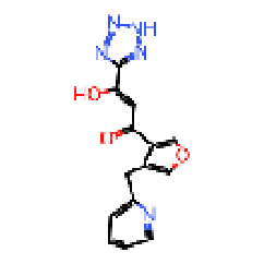 O=C(C=C(O)c1nn[nH]n1)c1cocc1Cc1ccccn1